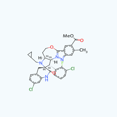 COC(=O)c1cc2c3n(nc2cc1C)[C@@H]1[C@H](CCO3)N(CC2CC2)[C@]2(Cc3ccc(Cl)cc3NC2=O)[C@H]1c1cccc(Cl)c1F